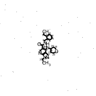 CCc1ccccc1CNC(=O)c1cnc2c(cnn2CC)c1NC1CCOCC1